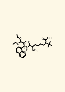 CCOC(OCC)[C@@H](C)[C@H](NC(=O)C(N)CCCCN(C(=O)O)C(C)(C)C)c1cccc2cccnc12